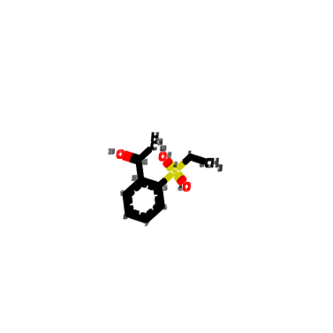 CCS(=O)(=O)c1ccccc1C(C)=O